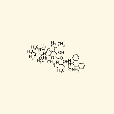 CC[C@H](C)[C@@H]([C@H](O)CC(=O)N1CCC[C@H]1[C@H](O)[C@@H](C)C(=O)N[C@@H](C1C=CC=CC1)[C@@H](N)c1ccccc1)N(C)C(=O)[C@@H](NC(=O)[C@H](C(C)C)N(C)C)C(C)C